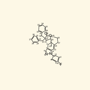 C[C@]12Cc3cnn(-c4ccc(F)cc4)c3C=C1CCC[C@@]21CC(Cc2ccccc2)(Cc2ccccc2)C(=O)O1